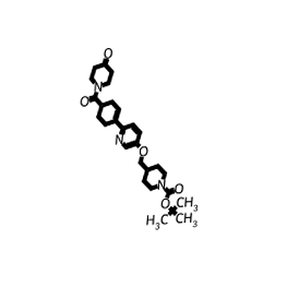 CC(C)(C)OC(=O)N1CCC(COc2ccc(C3=CCC(C(=O)N4CCC(=O)CC4)CC3)nc2)CC1